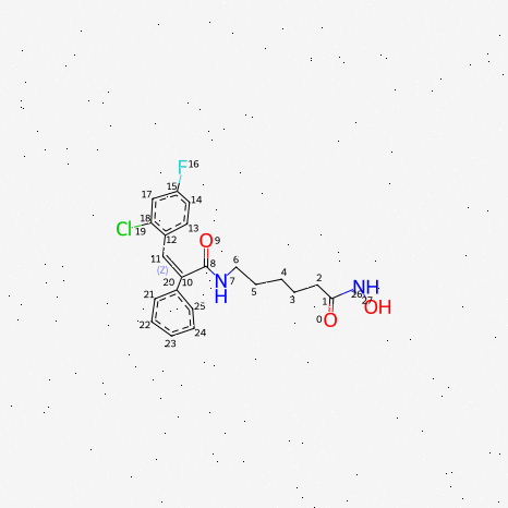 O=C(CCCCCNC(=O)/C(=C\c1ccc(F)cc1Cl)c1ccccc1)NO